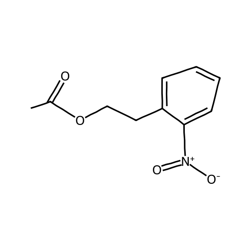 CC(=O)OCCc1ccccc1[N+](=O)[O-]